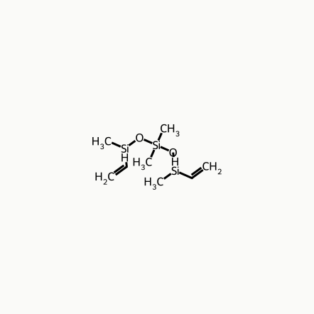 C=C[SiH](C)O[Si](C)(C)O[SiH](C)C=C